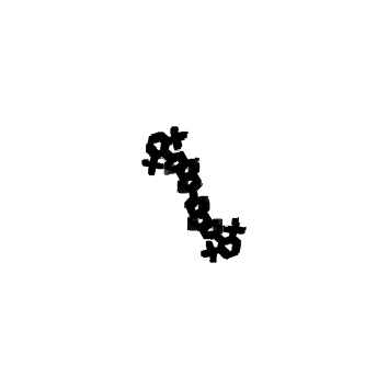 CC(C)(C)c1cccc(C(C)(C)C)c1-c1cc2sc3cc(-c4cc5sc6cc(-c7c(C(C)(C)C)cccc7C(C)(C)C)sc6c5s4)sc3c2s1